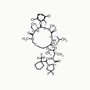 CC[C@H]1NC(=O)[C@H](Cc2cc(Cl)ccc2Cl)N(C)C(=O)[C@H](CC(C)C)NC(=O)[C@@H](N(C)C(=O)[C@H](C)NC(=O)[C@@H]2CC(F)(F)CN2C(=O)C2(C(F)(F)F)CCCCC2)CCCCN(C)C1=O